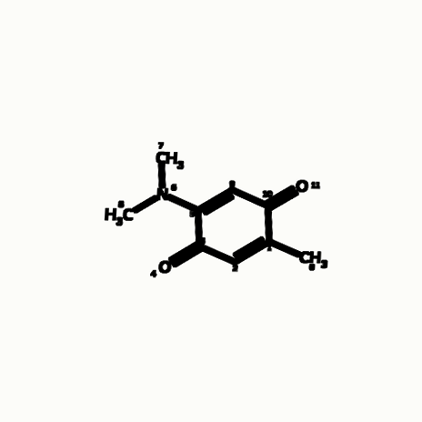 CC1=CC(=O)C(N(C)C)=CC1=O